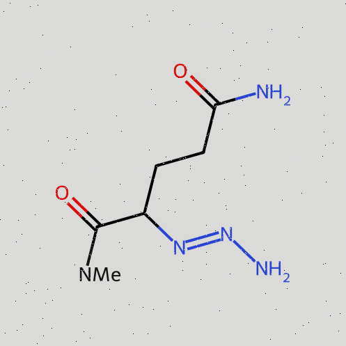 CNC(=O)C(CCC(N)=O)N=NN